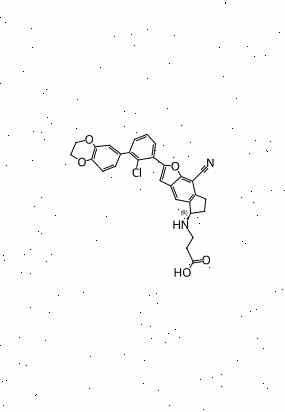 N#Cc1c2c(cc3cc(-c4cccc(-c5ccc6c(c5)OCCO6)c4Cl)oc13)[C@H](NCCC(=O)O)CC2